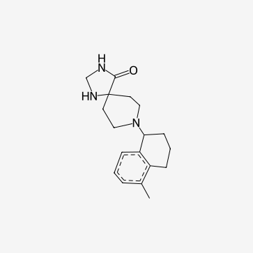 Cc1cccc2c1CCCC2N1CCC2(CC1)NCNC2=O